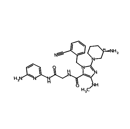 CNc1nc(N2CCC[C@@H](N)C2)n(Cc2ccccc2C#N)c1C(=O)NCC(=O)Nc1cccc(N)n1